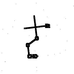 CCC(C)(C)OO[C]=O